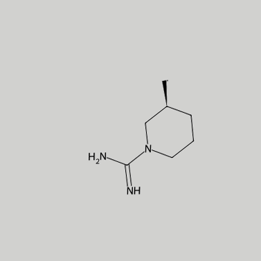 [CH2][C@H]1CCCN(C(=N)N)C1